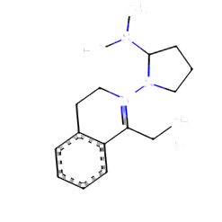 CCC1=[N+](N2CCCC2N(C)C)CCc2ccccc21.[Br-]